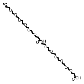 COCCOCCOCCOCCOCCOCCOCCC(=O)NCCOCCOCCOCCOCCOCCOCCC(=O)O